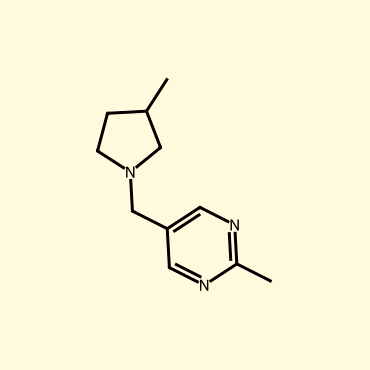 Cc1ncc(CN2CCC(C)C2)cn1